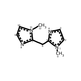 Cn1ccnc1Cc1nccn1C